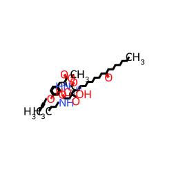 CC#CCOc1ccc(C[C@H](NC(=O)[C@@H](/C=C/CCCCCCC(=O)CCCCCCC)[C@@](O)(CC(=O)NCCCC)C(=O)O)C(=O)OC)cc1